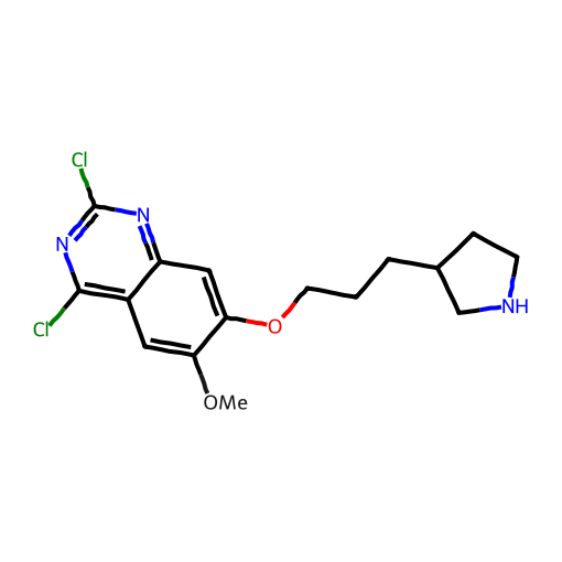 COc1cc2c(Cl)nc(Cl)nc2cc1OCCCC1CCNC1